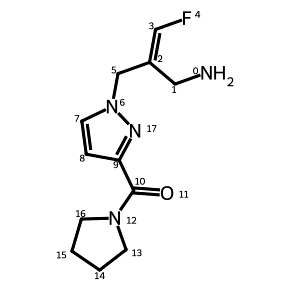 NC/C(=C\F)Cn1ccc(C(=O)N2CCCC2)n1